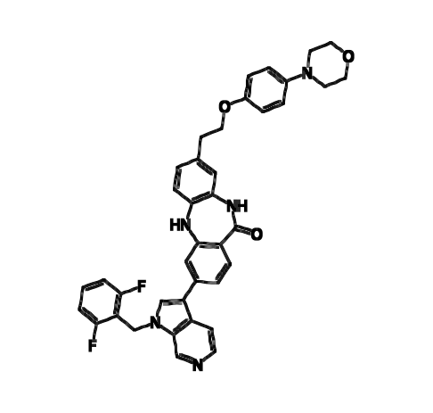 O=C1Nc2cc(CCOc3ccc(N4CCOCC4)cc3)ccc2Nc2cc(-c3cn(Cc4c(F)cccc4F)c4cnccc34)ccc21